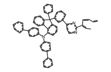 C=C/C=C\C(=C/C)c1nccc(-c2cccc(C3(c4ccccc4)c4ccccc4-c4c(N(c5ccc(-c6ccccc6)cc5)c5ccc(-c6ccccc6)cc5)cccc43)c2)n1